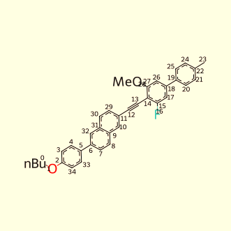 CCCCOc1ccc(-c2ccc3cc(C#Cc4c(F)cc(-c5ccc(C)cc5)cc4OC)ccc3c2)cc1